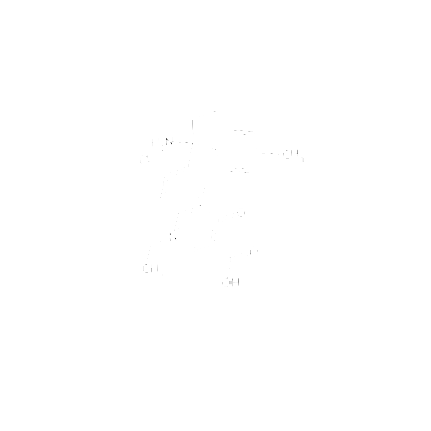 CCn1cc(C(=O)O)c(=O)c2cc(C3(N)CCc4cc(C)ccc43)c(Cl)cc21